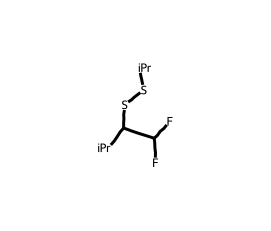 CC(C)SSC(C(C)C)C(F)F